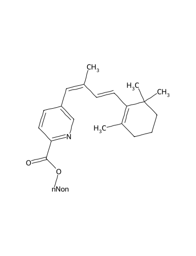 CCCCCCCCCOC(=O)c1ccc(C=C(C)C=CC2=C(C)CCCC2(C)C)cn1